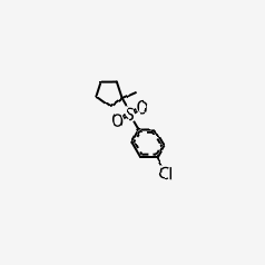 CC1(S(=O)(=O)c2ccc(Cl)cc2)CCCC1